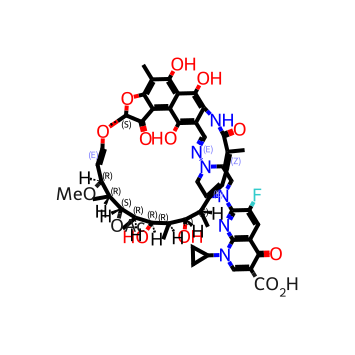 CO[C@H]1/C=C/O[C@@]2(C)Oc3c(C)c(O)c4c(O)c(c(/C=N/N5CCN(c6nc7c(cc6F)c(=O)c(C(=O)O)cn7C6CC6)CC5)c(O)c4c3C2=O)NC(=O)/C(C)=C\C=C\[C@H](C)[C@H](O)[C@@H](C)[C@@H](O)[C@@H](C)[C@H](OC(C)=O)[C@@H]1C